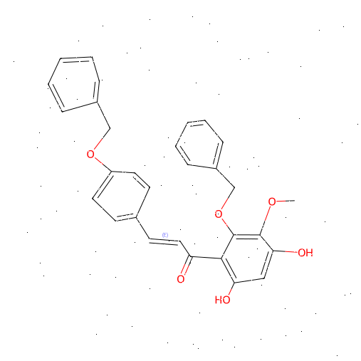 COc1c(O)cc(O)c(C(=O)/C=C/c2ccc(OCc3ccccc3)cc2)c1OCc1ccccc1